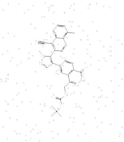 Cc1cccc2c(C#N)c(-c3c(-c4ccc5c(=O)[nH]nc(CNC(=O)OC(C)(C)C)c5c4)cnn3C)ccc12